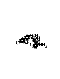 CN(Cc1ccc(-c2ccc(Cl)cc2C(F)(F)F)cc1)CC(O)COc1ccccc1C(N)=O